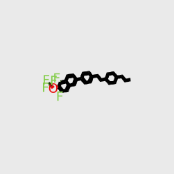 CCCC1CCC(CCc2ccc(-c3ccc4c(F)c(OC(F)(F)F)c(F)cc4c3)cc2)CC1